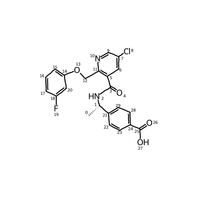 C[C@H](NC(=O)c1cc(Cl)cnc1COc1cccc(F)c1)c1ccc(C(=O)O)cc1